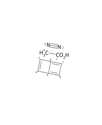 CC(=O)O.N#N.c1cc2ccc1-2